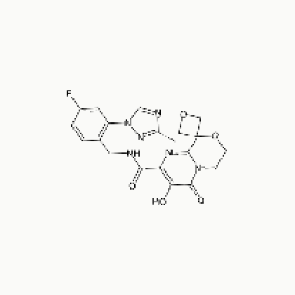 Cc1ncn(-c2cc(F)ccc2CNC(=O)c2nc3n(c(=O)c2O)CCOC32COC2)n1